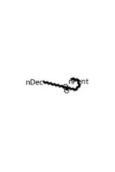 CCCCC/C=C\C/C=C\C/C=C\C/C=C\CCCC(=O)OCCCCCCCCCCCCCCCCCCCCCC